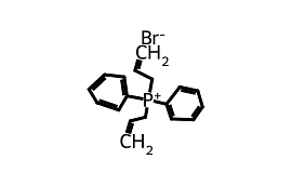 C=CC[P+](CC=C)(c1ccccc1)c1ccccc1.[Br-]